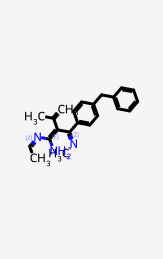 C=C(C)C(/C(=N\C)c1ccc(Cc2ccccc2)cc1)=C(N)\N=C/C